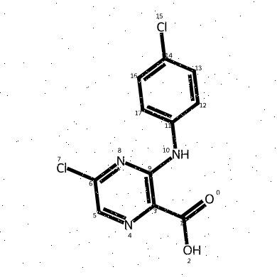 O=C(O)c1ncc(Cl)nc1Nc1ccc(Cl)cc1